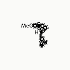 COc1ccc(S(=O)(=O)N2CCc3ccccc3C2CC(=O)NCCC2CCC(C(c3cccs3)N(C)C)CC2)cc1